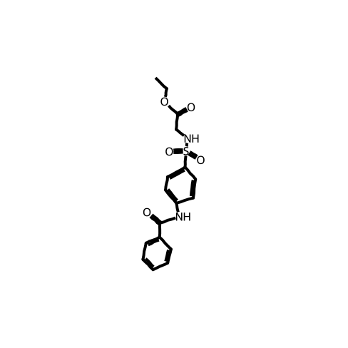 CCOC(=O)CNS(=O)(=O)c1ccc(NC(=O)c2ccccc2)cc1